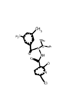 CCC[C@@H](N(NC(=O)c1ccc(Cl)nc1Cl)C(=O)c1cc(C)cc(C)c1)C(C)(C)C